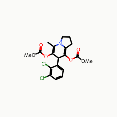 COC(=O)OC1=C(C)N2CCCC2=C(OC(=O)OC)C1c1cccc(Cl)c1Cl